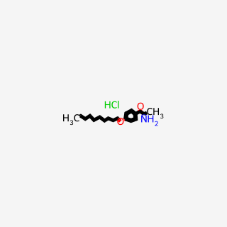 CCCCCCCCCCOc1ccc(C(=O)C(C)N)cc1.Cl